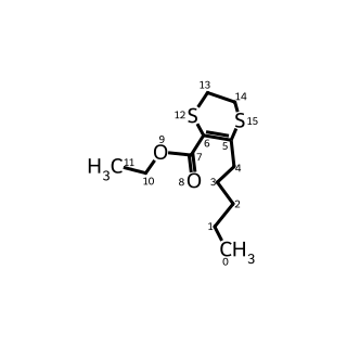 CCCCCC1=C(C(=O)OCC)SCCS1